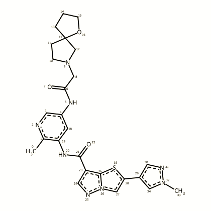 Cc1ncc(NC(=O)CN2CCC3(CCCO3)C2)cc1NC(=O)c1cnn2cc(-c3cnn(C)c3)sc12